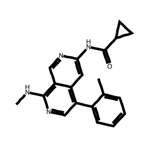 CNc1ncc(-c2ccccc2C)c2cc(NC(=O)C3CC3)ncc12